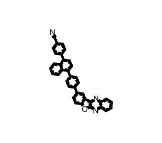 N#Cc1ccc(-c2ccc(-c3ccc(-c4ccc5oc6nc7ccccc7nc6c5c4)cc3)c3ccccc23)cc1